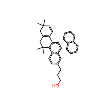 CC1(C)C=CC2=C(C1)CC(C)(C)c1c2ccc2cc(CCCO)ccc12.c1ccc2ccccc2c1